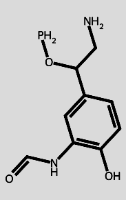 NCC(OP)c1ccc(O)c(NC=O)c1